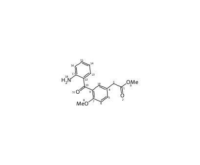 COC(=O)Cc1ccc(OC)c(C(=O)c2ccccc2N)c1